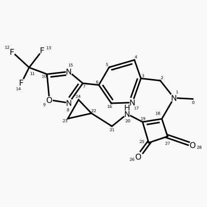 CN(Cc1ccc(-c2noc(C(F)(F)F)n2)cn1)c1c(NCC2CC2)c(=O)c1=O